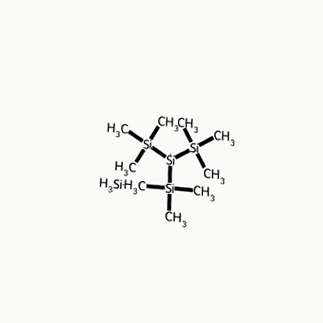 C[Si](C)(C)[Si]([Si](C)(C)C)[Si](C)(C)C.[SiH3]